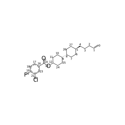 C=CCCC[C@H]1CC[C@H](C2CCC(OC(=O)c3ccc(F)c(Cl)c3)CC2)CC1